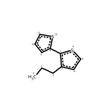 CCCc1ccsc1-c1cccs1